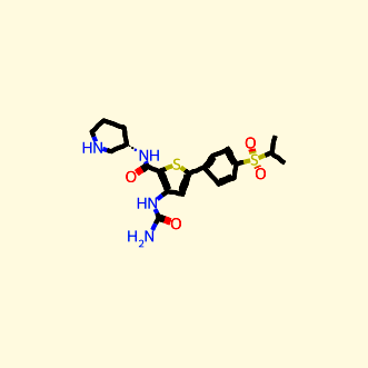 CC(C)S(=O)(=O)c1ccc(-c2cc(NC(N)=O)c(C(=O)N[C@H]3CCCNC3)s2)cc1